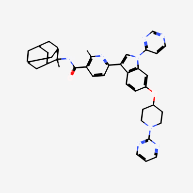 O=C(NC1(C(=O)O)C2CC3CC(C2)CC1C3)c1ccc(-c2cn(-c3ccncn3)c3cc(OC4CCN(c5ncccn5)CC4)ccc23)nc1C(F)(F)F